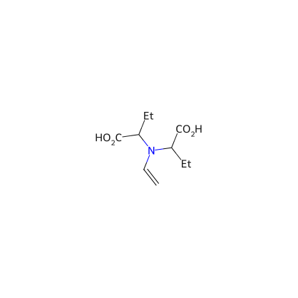 C=CN(C(CC)C(=O)O)C(CC)C(=O)O